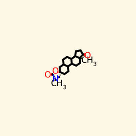 CN1C[C@]2(CCC3C(CCC4C3CC[C@]3(C)C(=O)CCC43)C2)OC1=O